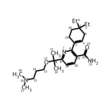 CCC1(CC)CC=C(c2nc(C(C)(C)OCCCN(C)C)ccc2C(N)=O)CC1